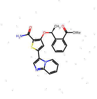 COC(=O)c1ccccc1[C@H](C)Oc1cc(-c2cnc3ccccn23)sc1C(N)=O